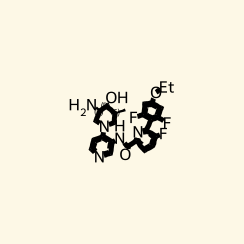 CCOc1cc(F)c(-c2nc(C(=O)Nc3cnccc3N3C[C@@H](N)[C@H](O)[C@@H](C)C3)ccc2F)c(F)c1